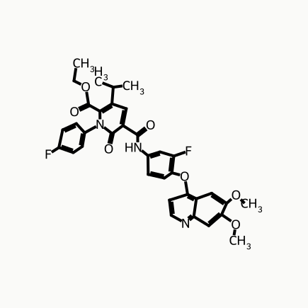 CCOC(=O)c1c(C(C)C)cc(C(=O)Nc2ccc(Oc3ccnc4cc(OC)c(OC)cc34)c(F)c2)c(=O)n1-c1ccc(F)cc1